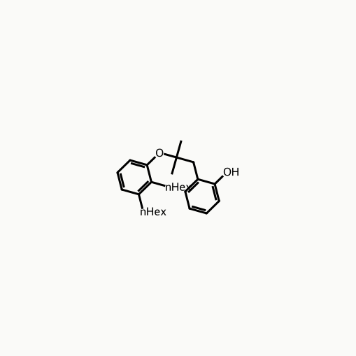 CCCCCCc1cccc(OC(C)(C)Cc2ccccc2O)c1CCCCCC